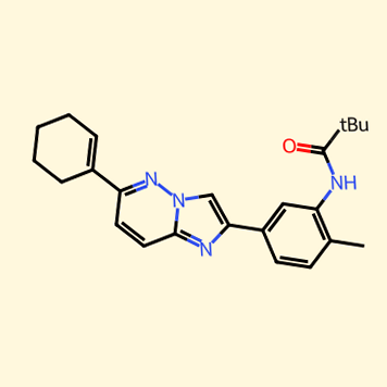 Cc1ccc(-c2cn3nc(C4=CCCCC4)ccc3n2)cc1NC(=O)C(C)(C)C